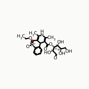 CCOC(=O)C1=C(C)NC(C)=C(C(=O)O[C@@H]([C@H](O)[C@H](O)CO)[C@@H](O)C=O)C1c1ccccc1[N+](=O)[O-]